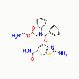 NC(=O)c1ccc2nc(N)sc2c1.NCOC(=O)CN(C(=O)c1ccccc1)c1ccccc1